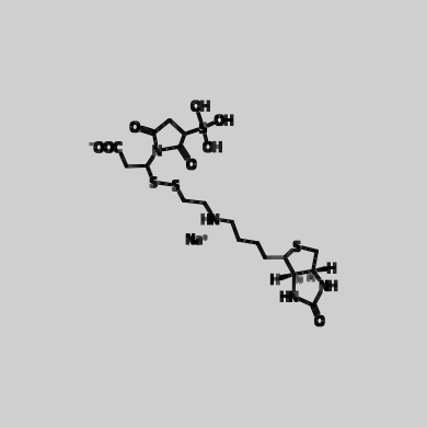 O=C([O-])CC(SSCCNCCCCC1SC[C@@H]2NC(=O)N[C@H]12)N1C(=O)CC(S(O)(O)O)C1=O.[Na+]